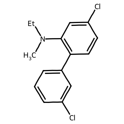 CCN(C)c1cc(Cl)ccc1-c1cccc(Cl)c1